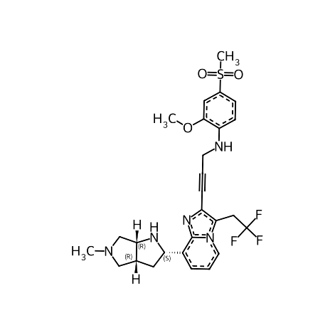 COc1cc(S(C)(=O)=O)ccc1NCC#Cc1nc2c([C@@H]3C[C@@H]4CN(C)C[C@@H]4N3)cccn2c1CC(F)(F)F